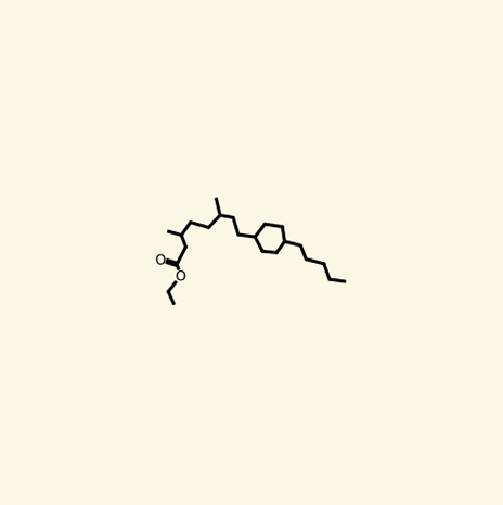 CCCCCC1CCC(CCC(C)CCC(C)CC(=O)OCC)CC1